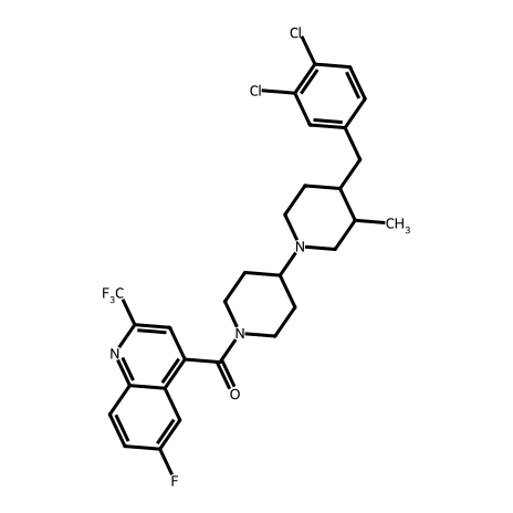 CC1CN(C2CCN(C(=O)c3cc(C(F)(F)F)nc4ccc(F)cc34)CC2)CCC1Cc1ccc(Cl)c(Cl)c1